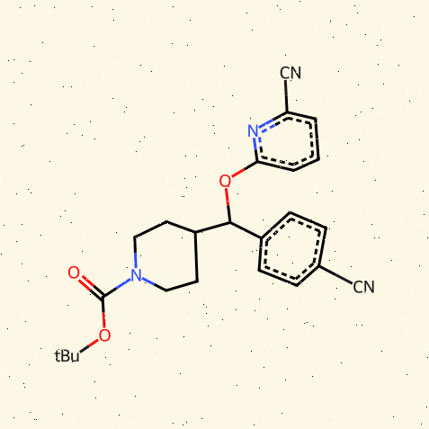 CC(C)(C)OC(=O)N1CCC(C(Oc2cccc(C#N)n2)c2ccc(C#N)cc2)CC1